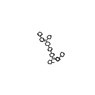 CC1CCCCC1N(c1cccc([C@@H]2CC=CCC2)c1)C1C=CC(C2=CCC(C3CCC(N(C4=CC(C5=CCCC=C5)CC=C4)C4CC=CCC4)CC3)C=C2)CC1